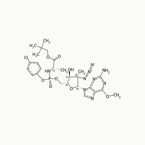 COc1nc(N)nc2c1ncn2[C@@H]1O[C@H](COP(=O)(N[C@@H](C)C(=O)OCC(C)(C)C)Oc2ccc(Cl)cc2)[C@@H](O)[C@@]1(C)N=[N+]=[N-]